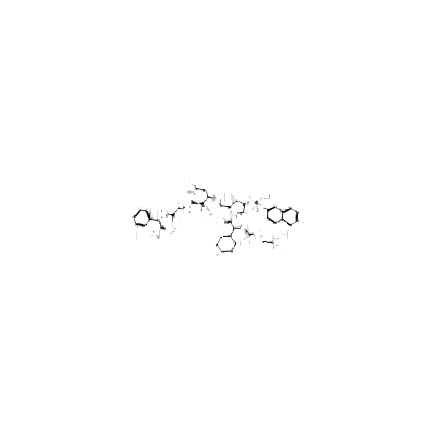 CCCC(NC(=O)C1C[C@@H](NS(=O)(=O)c2ccc3ccccc3c2)CN1C(=O)[C@@H](NC(=O)OCC(C)C)C1CCCCC1)C(=O)C(=O)NCC(=O)N[C@H](C(N)=O)c1ccccc1